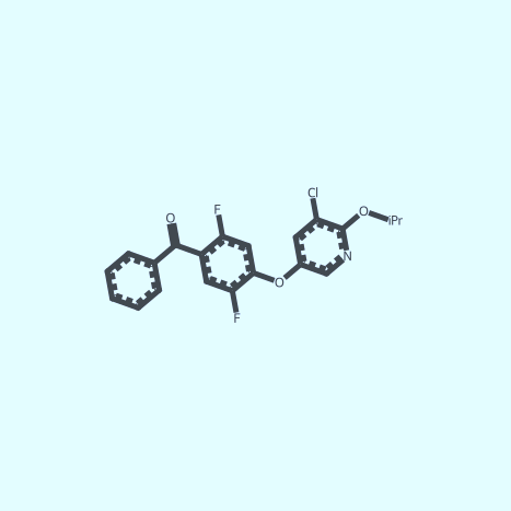 CC(C)Oc1ncc(Oc2cc(F)c(C(=O)c3ccccc3)cc2F)cc1Cl